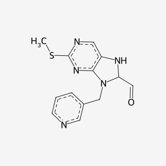 CSc1ncc2c(n1)N(Cc1cccnc1)C(C=O)N2